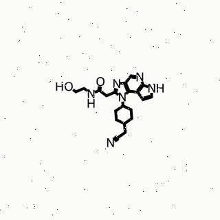 N#CCC1CCC(n2c(CC(=O)NCCO)nc3cnc4[nH]ccc4c32)CC1